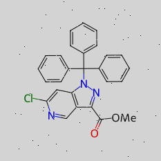 COC(=O)c1nn(C(c2ccccc2)(c2ccccc2)c2ccccc2)c2cc(Cl)ncc12